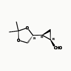 CC1(C)OC[C@@H]([C@H]2C[C@H]2C=O)O1